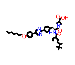 C=C/C(=C\C=C(/C)C(C)(C)C)C(=O)N[C@@H](Cc1ccc(-c2ncc(-c3ccc(OCCCCCCC)cc3)cn2)cc1)C(=O)N1CC(C(=O)O)C1